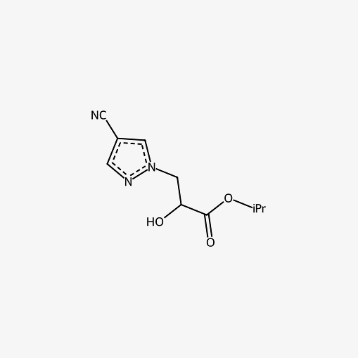 CC(C)OC(=O)C(O)Cn1cc(C#N)cn1